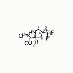 O=C(O)C1(CCCl)C[C@@]2(CN1)CC2(F)F